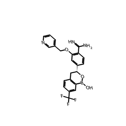 N=C(N)c1ccc([C@H]2Cc3ccc(C(F)(F)F)cc3B(O)O2)cc1OCc1cccnc1